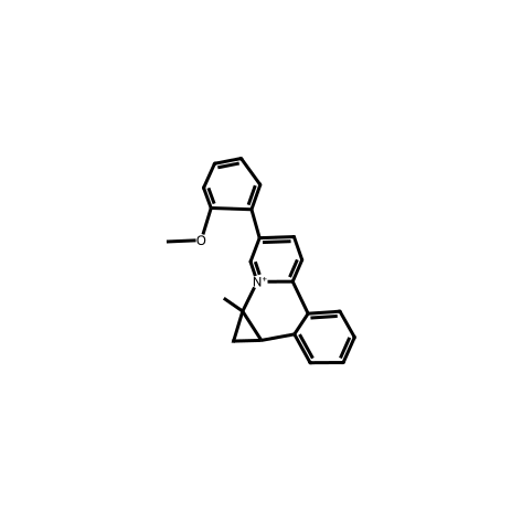 COc1ccccc1-c1ccc2[n+](c1)C1(C)CC1c1ccccc1-2